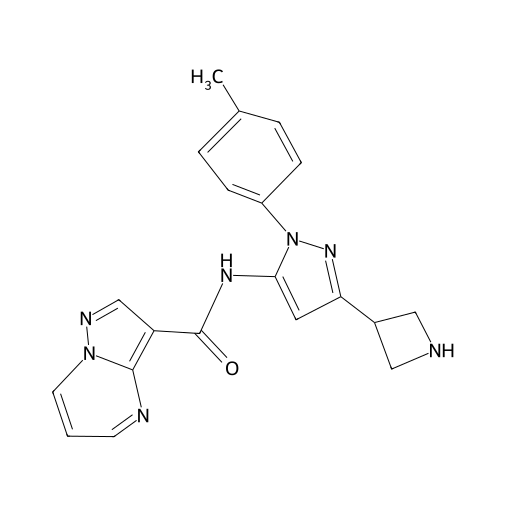 Cc1ccc(-n2nc(C3CNC3)cc2NC(=O)c2cnn3cccnc23)cc1